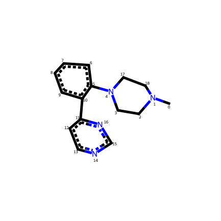 CN1CCN(c2cc[c]cc2-c2ccncn2)CC1